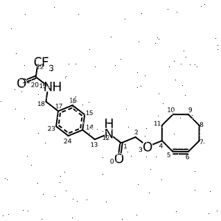 O=C(COC1C#CCCCCC1)NCc1ccc(CNC(=O)C(F)(F)F)cc1